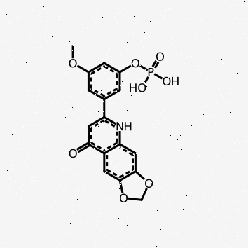 COc1cc(OP(=O)(O)O)cc(-c2cc(=O)c3cc4c(cc3[nH]2)OCO4)c1